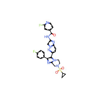 O=C(Nc1cn2nc(-c3c(-c4ccc(F)cc4)nc4n3CCN(S(=O)(=O)C3CC3)C4)ccc2n1)c1ccnc(F)c1